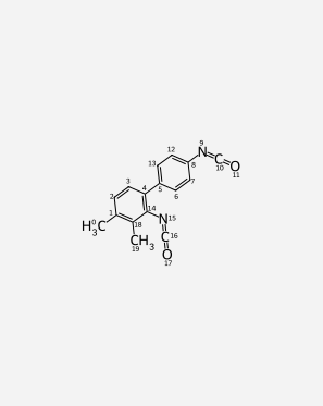 Cc1ccc(-c2ccc(N=C=O)cc2)c(N=C=O)c1C